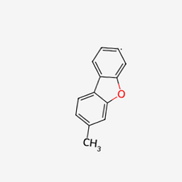 Cc1ccc2c(c1)oc1c[c]ccc12